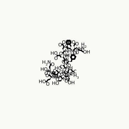 CC[C@H](C)[C@H](NC(=O)[C@H](CC(=O)O)NC(=O)[C@H](CC(=O)O)NC(=O)[C@H](CC(C)C)NC(=O)[C@H](CO)NC(=O)[C@H](Cc1ccccc1)NC(=O)[C@H](CCC(=O)O)NC(=O)[C@H](CCC(=O)O)NC(=O)[C@H](Cc1ccccc1)NC(=O)[C@H](CC(=O)O)NC(=O)[C@@H](N)CO)C(=O)N[C@@H](CCC(=O)O)C(=O)N[C@@H](CCC(N)=O)C(=O)O